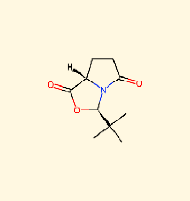 CC(C)(C)[C@H]1OC(=O)[C@@H]2CCC(=O)N21